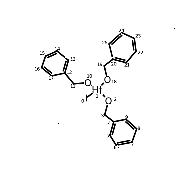 [I][Hf]([O]Cc1ccccc1)([O]Cc1ccccc1)[O]Cc1ccccc1